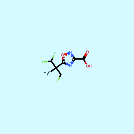 CC(CF)(c1nc(C(=O)O)no1)C(F)F